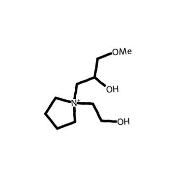 COCC(O)C[N+]1(CCO)CCCC1